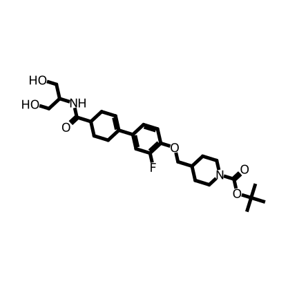 CC(C)(C)OC(=O)N1CCC(COc2ccc(C3=CCC(C(=O)NC(CO)CO)CC3)cc2F)CC1